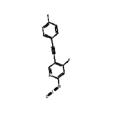 Cc1ccc(C#Cc2cnc(N=C=S)cc2F)cc1